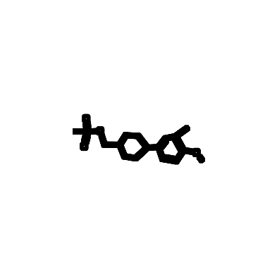 COc1ccc(C2CCC(COS(C)(=O)=O)CC2)cc1C